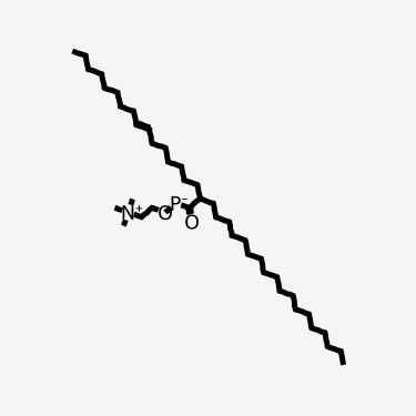 CCCCCCCCC=CCCCCCCC(CCCCCCCCCCCCCCCCCC)C(=O)[P-]OCC[N+](C)(C)C